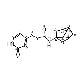 O=C(CSc1cc[nH]c(=O)n1)NC12CC3CC(C1)C(C3)C2